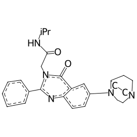 CC(C)NC(=O)Cn1c(-c2ccccc2)nc2ccc(N3CCN4CCC3CC4)cc2c1=O